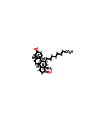 C[C@]12CCC(=O)C[C@@H]1CC[C@@H]1[C@@H]2[C@@H](CCCCCCCC(=O)O)C[C@]2(C)[C@@H](O)CC[C@@H]12